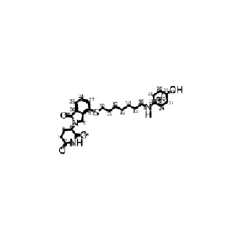 O=C1CCC(N2Cc3c(SCCCCCCCNC45CCC(O)(CC4)CC5)cccc3C2=O)C(=O)N1